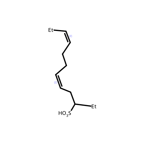 CC/C=C\CC/C=C\CC(CC)S(=O)(=O)O